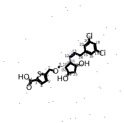 O=C(O)c1ccc(COC[C@@H]2[C@@H](/C=C\Cc3cc(Cl)cc(Cl)c3)[C@H](O)C[C@H]2O)s1